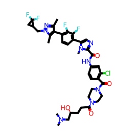 Cc1nn(CC2CC2(F)F)c(C)c1-c1ccc(-c2cnc(C(=O)Nc3ccc(C(=O)N4CCN(C(=O)CC[C@@H](O)CN(C)C)CC4)c(Cl)c3)n2C)c(F)c1F